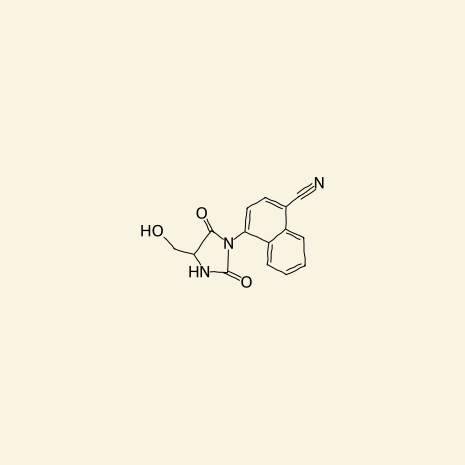 N#Cc1ccc(N2C(=O)NC(CO)C2=O)c2ccccc12